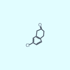 O=C1CCc2ccc(Cl)cc2C1